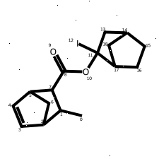 CC1C2C=CC(C2)C1C(=O)OC1(I)CC2CCC1C2